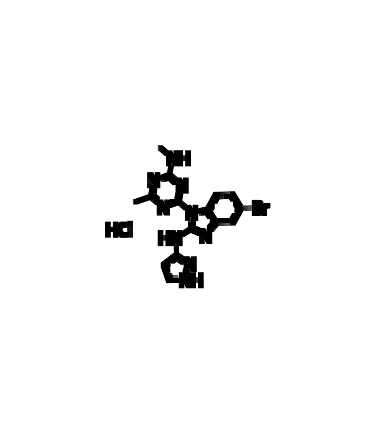 CNc1nc(C)nc(-n2c(Nc3cc[nH]n3)nc3cc(Br)ccc32)n1.Cl